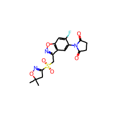 CC1(C)CC(S(=O)(=O)Cc2noc3cc(F)c(N4C(=O)CCC4=O)cc23)=NO1